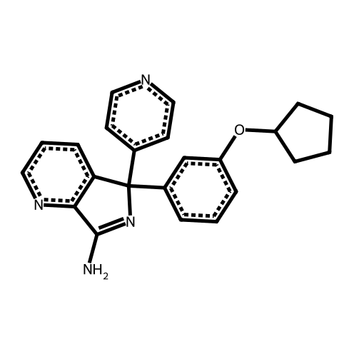 NC1=NC(c2ccncc2)(c2cccc(OC3CCCC3)c2)c2cccnc21